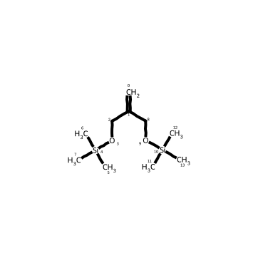 C=C(CO[Si](C)(C)C)CO[Si](C)(C)C